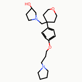 OC1CCN(CC2(c3ccc(OCCCN4CCCC4)cc3)CCOCC2)C1